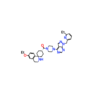 CCOc1ccc2c(c1)CCN[C@]21CC[C@@H](C(=O)N2CCN(c3ncnc4c3cnn4Cc3cccc(CC)n3)CC2)CC1